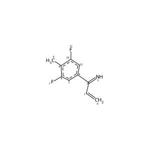 C=CC(=N)c1cc(F)c(C)c(F)c1